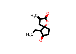 C=C1CC2(CCC(=O)C2CC)OC1=O